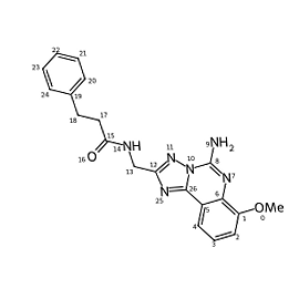 COc1cccc2c1nc(N)n1nc(CNC(=O)CCc3ccccc3)nc21